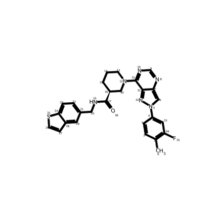 Cc1ccc(-n2cc3ncnc(N4CCC[C@H](C(=O)NCc5ccc6sccc6c5)C4)c3n2)cc1F